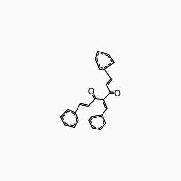 O=C(C=Cc1ccccc1)C(=Cc1ccccc1)C(=O)C=Cc1ccccc1